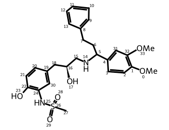 COc1ccc(C(CCc2ccccc2)NC[C@@H](O)Cc2ccc(O)c(NS(C)(=O)=O)c2)cc1OC